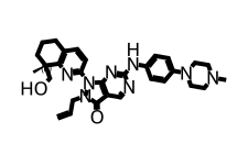 C=CCn1c(=O)c2cnc(Nc3ccc(N4CCN(C)CC4)cc3)nc2n1-c1ccc2c(n1)[C@](C)(CO)CCC2